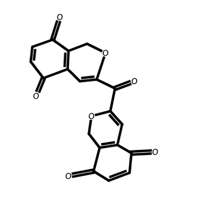 O=C1C=CC(=O)C2=C1C=C(C(=O)C1=CC3=C(CO1)C(=O)C=CC3=O)OC2